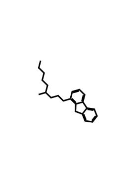 CCCCCC(C)CCCc1cccc2c1Cc1ccccc1-2